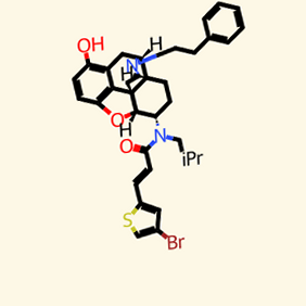 CC(C)CN(C(=O)/C=C/c1cc(Br)cs1)[C@H]1CC[C@H]2[C@H]3Cc4c(O)ccc5c4[C@@]2(CCN3CCc2ccccc2)[C@H]1O5